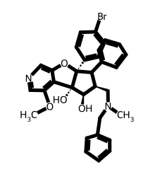 COc1cncc2c1[C@]1(O)[C@H](O)[C@H](CN(C)Cc3ccccc3)C(c3ccccc3)[C@]1(c1ccc(Br)cc1)O2